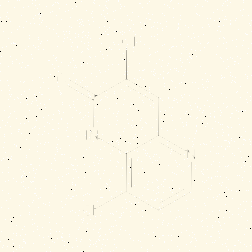 O=c1[nH]c2c(Cl)ccnc2cc1O